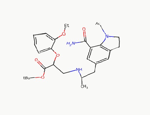 CCOc1ccccc1OC(CNC(C)Cc1cc2c(c(C(N)=O)c1)N(C(C)=O)CC2)C(=O)OC(C)(C)C